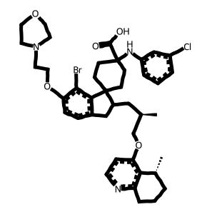 C[C@@H](COc1ccnc2c1[C@H](C)CCC2)CC1Cc2ccc(OCCN3CCOCC3)c(Br)c2C12CCC(Nc1cccc(Cl)c1)(C(=O)O)CC2